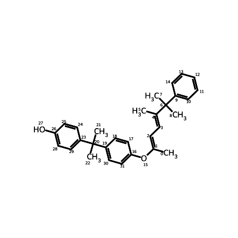 C/C(=C\C=C(/C)C(C)(C)c1ccccc1)Oc1ccc(C(C)(C)c2ccc(O)cc2)cc1